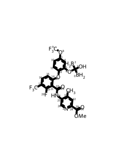 BC(B)(O)Oc1cc(OC(F)(F)F)ccc1Oc1ccc(C(F)(F)F)c(F)c1C(=O)Nc1cnc(C(=O)OC)cc1C